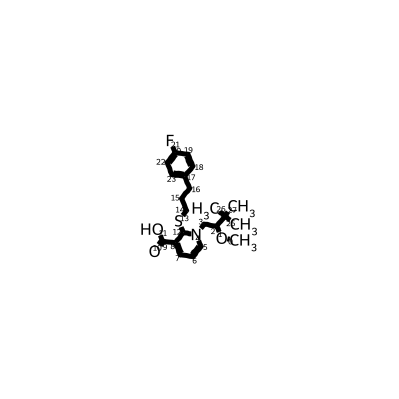 COC(CN1C=CC=C(C(=O)O)C1SCCCc1ccc(F)cc1)C(C)(C)C